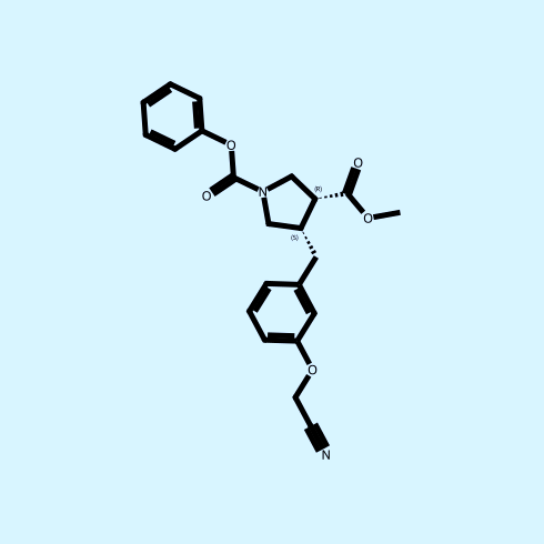 COC(=O)[C@H]1CN(C(=O)Oc2ccccc2)C[C@H]1Cc1cccc(OCC#N)c1